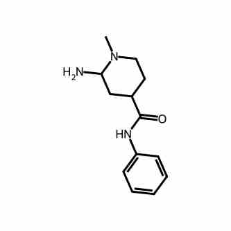 CN1CCC(C(=O)Nc2ccccc2)CC1N